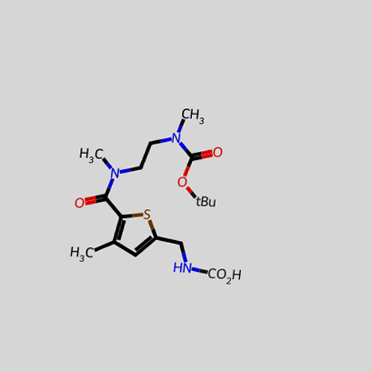 Cc1cc(CNC(=O)O)sc1C(=O)N(C)CCN(C)C(=O)OC(C)(C)C